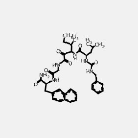 CCC(C)C(NC(=O)C(CC(C)C)NC(=O)NCc1ccccc1)C(=O)C(=O)NCC(=O)NC(Cc1ccc2ccccc2c1)C(N)=O